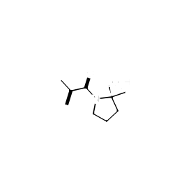 C=C(C)C(=O)N1CCC[C@]1(C)C(=O)O